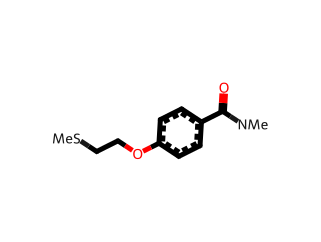 CNC(=O)c1ccc(OCCSC)cc1